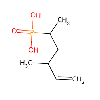 C=CC(C)CC(C)P(=O)(O)O